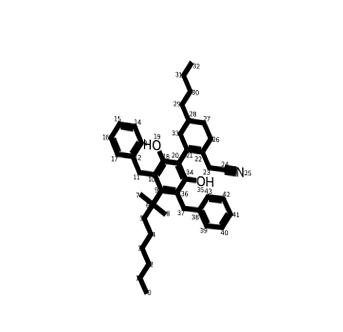 CCCCCCC(C)(C)c1c(Cc2ccccc2)c(O)c(C2=C(CC#N)CCC(CCCC)C2)c(O)c1Cc1ccccc1